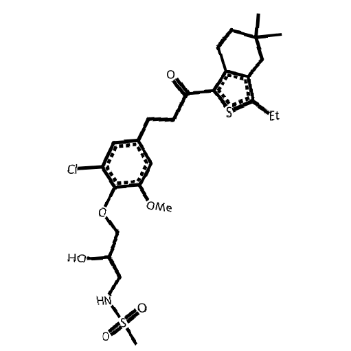 CCc1sc(C(=O)CCc2cc(Cl)c(OCC(O)CNS(C)(=O)=O)c(OC)c2)c2c1CC(C)(C)CC2